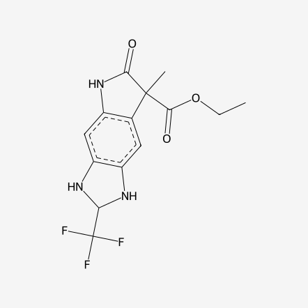 CCOC(=O)C1(C)C(=O)Nc2cc3c(cc21)NC(C(F)(F)F)N3